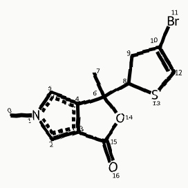 Cn1cc2c(c1)C(C)(C1CC(Br)=CS1)OC2=O